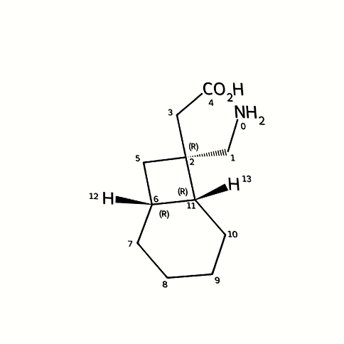 NC[C@@]1(CC(=O)O)C[C@H]2CCCC[C@H]21